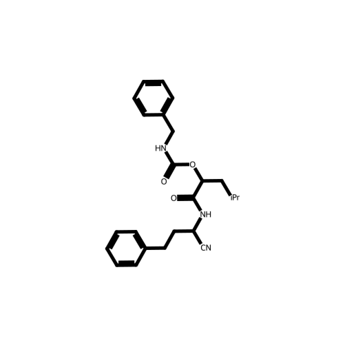 CC(C)CC(OC(=O)NCc1ccccc1)C(=O)NC(C#N)CCc1ccccc1